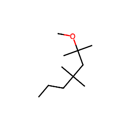 CCCC(C)(C)CC(C)(C)OC